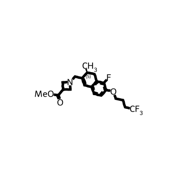 COC(=O)C1CN(CC2=Cc3ccc(OCCCC(F)(F)F)c(F)c3C[C@@H]2C)C1